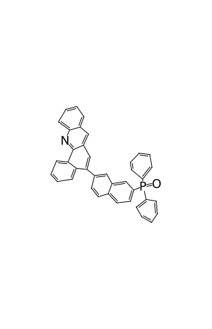 O=P(c1ccccc1)(c1ccccc1)c1ccc2ccc(-c3cc4cc5ccccc5nc4c4ccccc34)cc2c1